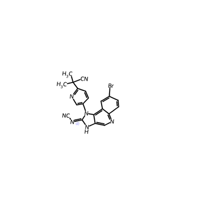 CC(C)(C#N)c1ccc(-n2/c(=N\C#N)[nH]c3cnc4ccc(Br)cc4c32)cn1